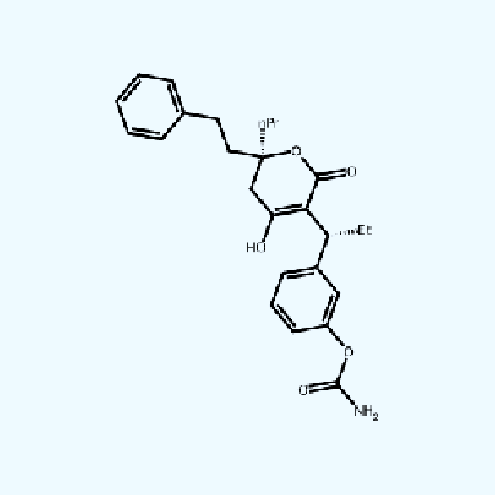 CCC[C@@]1(CCc2ccccc2)CC(O)=C([C@H](CC)c2cccc(OC(N)=O)c2)C(=O)O1